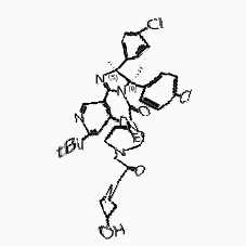 CCOc1cc(C(C)(C)C)ncc1C1=N[C@@](C)(c2ccc(Cl)cc2)[C@@](C)(c2ccc(Cl)cc2)N1C(=O)N1CCN(CC(=O)N2CC(O)C2)CC1